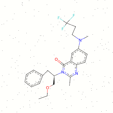 CCOC[C@@H](Cc1ccccc1)n1c(C)nc2ccc(N(C)CCC(F)(F)F)cc2c1=O